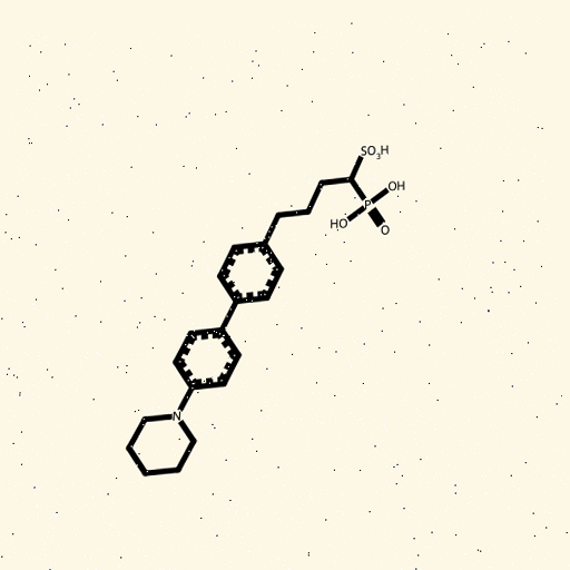 O=P(O)(O)C(CCCc1ccc(-c2ccc(N3CCCCC3)cc2)cc1)S(=O)(=O)O